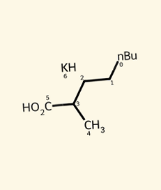 CCCCCCC(C)C(=O)O.[KH]